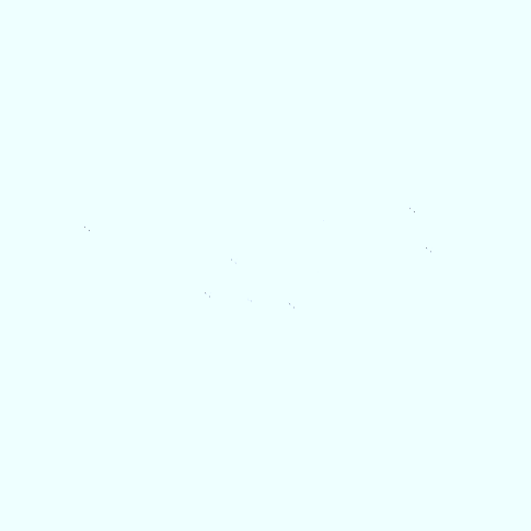 CCn1c(=O)c(-c2ccc(-c3ncccn3)cc2Cl)cc2cnc(Nc3ccc(C4CCCNC4)cc3)nc21